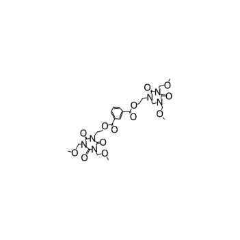 COCN1CN(CCOC(=O)c2cccc(C(=O)OCCn3c(=O)n(COC)c(=O)n(COC)c3=O)c2)C(=O)N(COC)C1=O